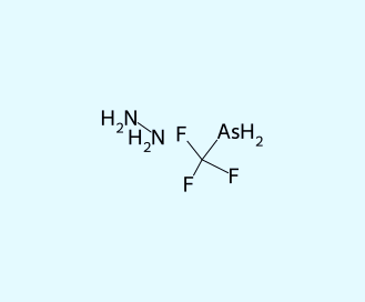 FC(F)(F)[AsH2].NN